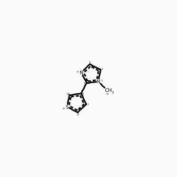 Cn1[c]cnc1-c1ccsc1